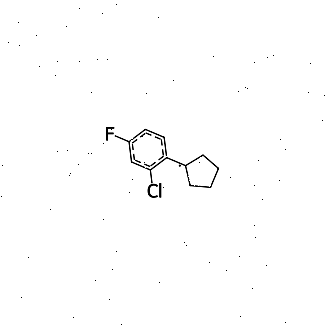 Fc1ccc([C]2CCCC2)c(Cl)c1